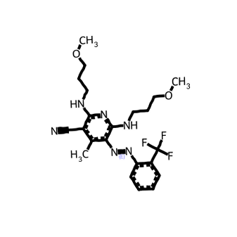 COCCCNc1nc(NCCCOC)c(/N=N/c2ccccc2C(F)(F)F)c(C)c1C#N